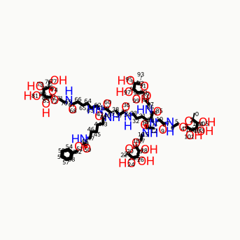 C[C@@H]1O[C@@H](OCCNC(=O)CN(CC(=O)NCCO[C@@H]2O[C@@H](C)[C@@H](O)[C@@H](O)[C@@H]2O)[C@@H](CCCCNC(=O)CC[C@H](NC(=O)CCCCCNC(=O)OCc2ccccc2)C(=O)NCCCCCC(=O)NCCO[C@H]2O[C@H](CO)[C@@H](O)[C@H](O)[C@@H]2O)C(=O)NCCO[C@@H]2O[C@@H](C)[C@@H](O)[C@@H](O)[C@@H]2O)[C@@H](O)[C@H](O)[C@@H]1O